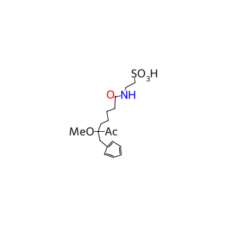 COC(CCCCC(=O)NCCS(=O)(=O)O)(Cc1ccccc1)C(C)=O